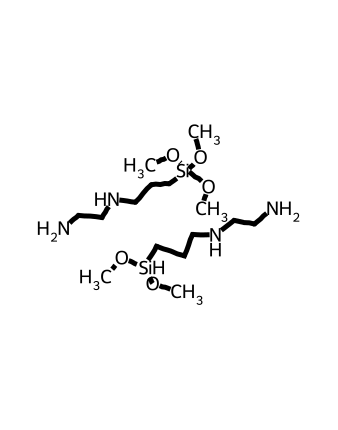 CO[SiH](CCCNCCN)OC.CO[Si](CCCNCCN)(OC)OC